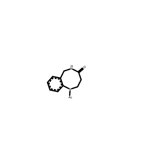 CC(=O)N1CCC(=O)NCc2ccccc21